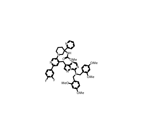 COC(=O)NC1(c2ccccn2)CCCN(c2cnc(-c3ccc(F)c(F)c3)cc2Cc2cnn3c(N(Cc4ccc(OC)cc4OC)Cc4ccc(OC)cc4OC)ncnc23)C1